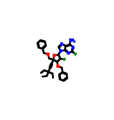 CC[Si](C#CC1(COCc2ccccc2)OC(n2cnc3c(N)nc(F)nc32)C(F)C1OCc1ccccc1)(CC)CC